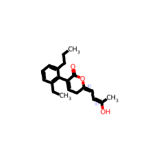 CCCc1cccc(CC)c1C1=CC/C(=C\C=C(/C)O)OC1=O